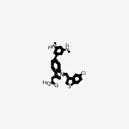 CNc1cc(NC)cc(-c2ccc3c(CC(=O)O)cn(CC4CSc5ccc(Cl)cc54)c3c2)c1